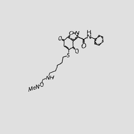 CNOCNCCCCCSC1=CC(=O)c2onc(C(=O)Nc3ccccc3)c2C1=O